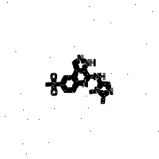 Cc1ncc(Nc2nc3ccc(S(C)(=O)=O)cc3c3cn[nH]c23)n1C